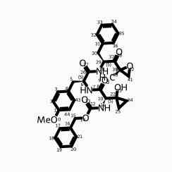 COc1ccc(C[C@H](NC(=O)[C@@H](NC(=O)OCc2ccccc2)C2(O)CC2)C(=O)N[C@@H](Cc2ccccc2)C(=O)[C@@]2(C)CO2)cc1